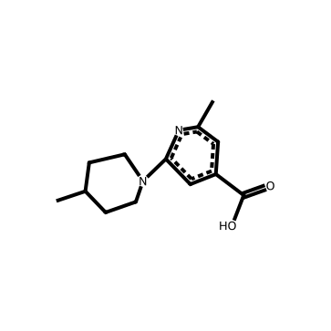 Cc1cc(C(=O)O)cc(N2CCC(C)CC2)n1